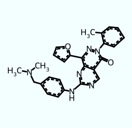 Cc1ccccc1-n1nc(-c2ccco2)c2nc(Nc3ccc(CN(C)C)cc3)ncc2c1=O